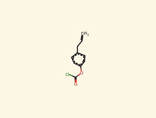 C=CCc1ccc(OC(=O)Cl)cc1